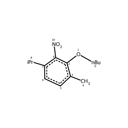 CCCCOc1c(C)ccc(C(C)C)c1[N+](=O)[O-]